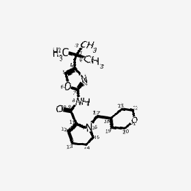 CC(C)(C)c1coc(NC(=O)C2CCCCN2CC2CCOCC2)n1